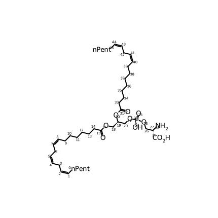 CCCCC/C=C\C/C=C\C/C=C\CCCCCCC(=O)OC[C@H](COP(=O)(O)OC[C@H](N)C(=O)O)OC(=O)CCCCCCC/C=C\C/C=C\CCCCC